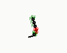 CCCCCc1cc(F)c(C(F)(F)OC2COC(c3ccc(-c4ccc(-c5cc(F)c(F)c(F)c5)c(F)c4)c(F)c3)OC2)c(F)c1